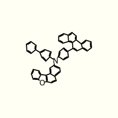 c1ccc(-c2ccc(N(c3ccc(-c4cc5ccccc5c5ccc6ccccc6c45)cc3)c3ccc4ccc5oc6ccccc6c5c4c3)cc2)cc1